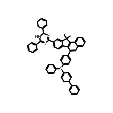 CC1(C)c2cc(C3=NC(C4=CC=CCC4)NC(c4ccccc4)=N3)ccc2-c2c(-c3ccc(N(C4=CCC(c5ccccc5)C=C4)c4ccccc4)cc3)cc3ccccc3c21